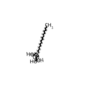 CCCCCCCCC=CCCCCCCCCN(CCC(O)O)CC(O)O